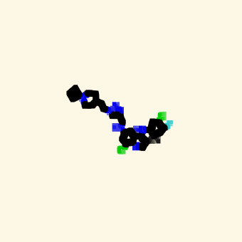 N#Cc1cnc2c(Cl)cc(NCc3cn(CCC4CCN(C5CCC5)CC4)nn3)cc2c1Nc1ccc(F)c(Cl)c1